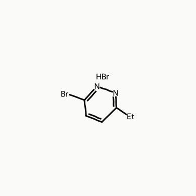 Br.CCc1ccc(Br)nn1